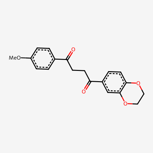 COc1ccc(C(=O)CCC(=O)c2ccc3c(c2)OCCO3)cc1